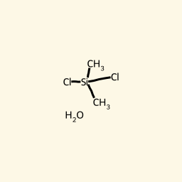 C[Si](C)(Cl)Cl.O